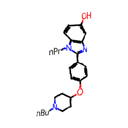 CCCCN1CCC(Oc2ccc(-c3nc4cc(O)ccc4n3CCC)cc2)CC1